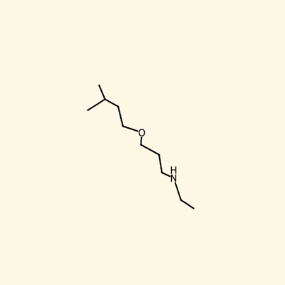 CCNCCCOCCC(C)C